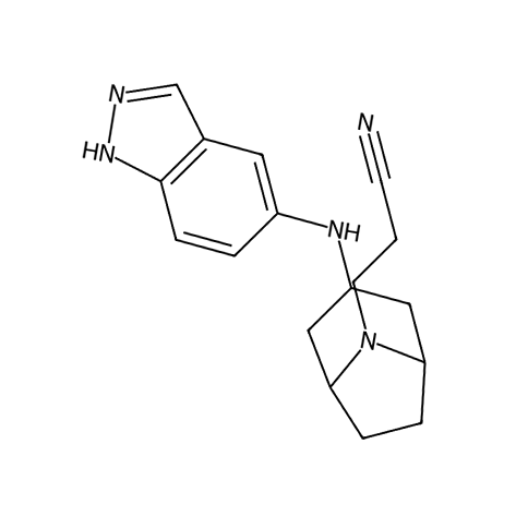 N#CCCN1C2CCC1CC(Nc1ccc3[nH]ncc3c1)C2